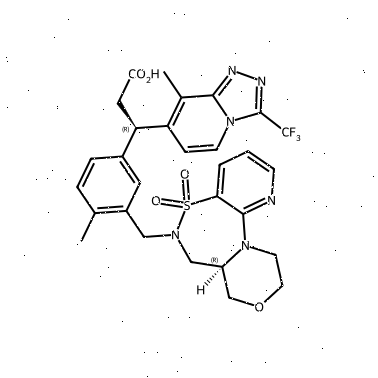 Cc1ccc([C@@H](CC(=O)O)c2ccn3c(C(F)(F)F)nnc3c2C)cc1CN1C[C@@H]2COCCN2c2ncccc2S1(=O)=O